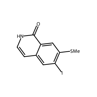 CSc1cc2c(=O)[nH]ccc2cc1I